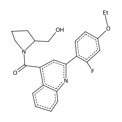 CCOc1ccc(-c2cc(C(=O)N3CCCC3CO)c3ccccc3n2)c(F)c1